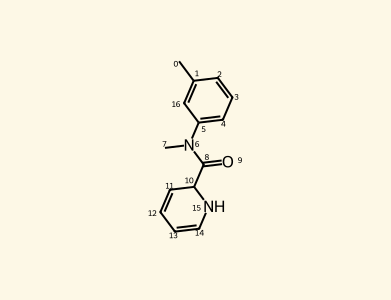 Cc1cccc(N(C)C(=O)C2C=CC=CN2)c1